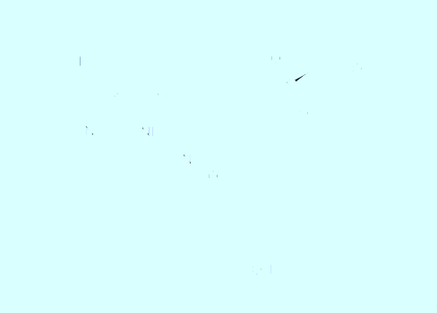 O=C(Nc1ncc(F)s1)/C(=N/OCCCO)c1ccc(S(=O)(=O)[C@H]2CCOC2)cc1